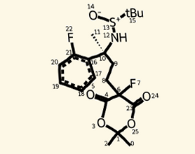 CC1(C)OC(=O)C(F)(CC[C@](C)(N[S+]([O-])C(C)(C)C)c2ccccc2F)C(=O)O1